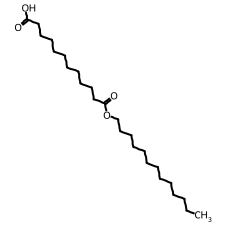 CCCCCCCCCCCCCOC(=O)CCCCCCCCCCC(=O)O